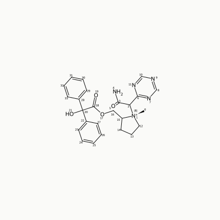 C[N@@+]1(C(C(N)=O)c2ncncn2)CCCC1COC(=O)C(O)(c1ccccc1)c1ccccc1